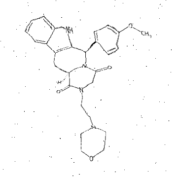 COc1ccc([C@@H]2c3[nH]c4ccccc4c3C[C@@H]3C(=O)N(CCN4CCOCC4)CC(=O)N23)cc1